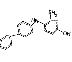 Bc1cc(O)ccc1Nc1ccc(-c2ccccc2)cc1